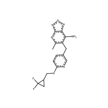 Cc1nc2nonc2c(N)c1Cc1ccc(OCC2CC2(F)F)nc1